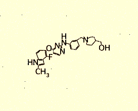 Cc1cc2c(F)c(Oc3ccnc(Nc4cccc(CN5CCC(CO)CC5)c4)n3)ccc2[nH]1